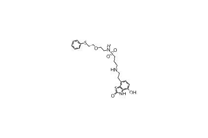 O=c1[nH]c2c(O)ccc(CCNCCCS(=O)(=O)NCCOCCSc3ccccc3)c2s1